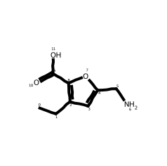 CCc1cc(CN)oc1C(=O)O